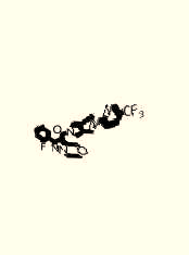 O=C(c1c(-c2ccccc2F)nn2c1COCC2)N1CC2CN(c3ccc(C(F)(F)F)cn3)CC2C1